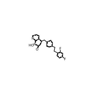 O=c1cc(Cc2ccc(CCc3ccc(F)cc3F)cc2)c2cccnc2n1O